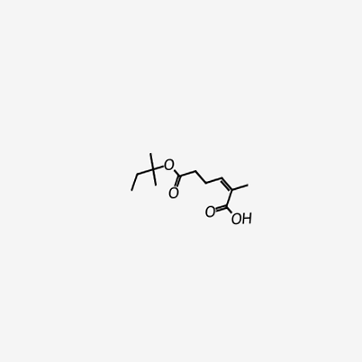 CCC(C)(C)OC(=O)CCC=C(C)C(=O)O